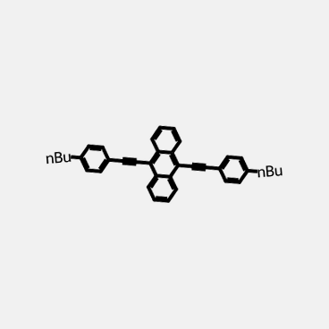 CCCCc1ccc(C#Cc2c3ccccc3c(C#Cc3ccc(CCCC)cc3)c3ccccc23)cc1